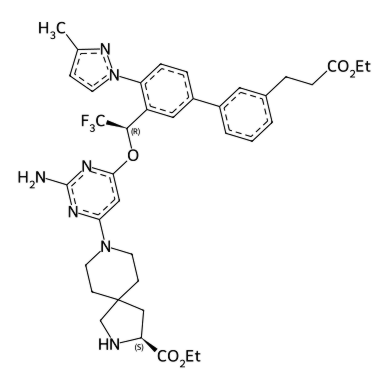 CCOC(=O)CCc1cccc(-c2ccc(-n3ccc(C)n3)c([C@@H](Oc3cc(N4CCC5(CC4)CN[C@H](C(=O)OCC)C5)nc(N)n3)C(F)(F)F)c2)c1